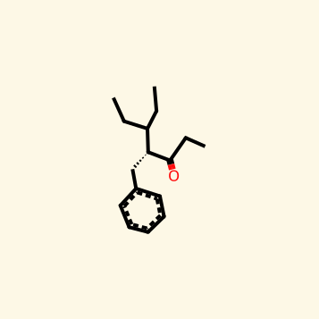 CCC(=O)[C@H](Cc1ccccc1)C(CC)CC